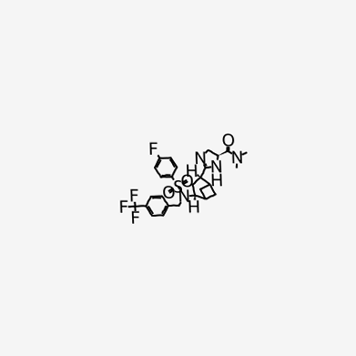 CN(C)C(=O)[C@@H]1CN=C([C@H]2C[C@@H](N(Cc3ccc(C(F)(F)F)cc3)S(=O)(=O)c3ccc(F)cc3)C3CC2C3)N1